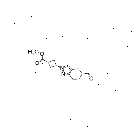 COC(=O)[C@H]1C[C@@H](n2cc3c(n2)CCC(C=O)C3)C1